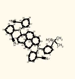 C[Si](C)(C)c1cccc(N(c2ccccc2C#N)c2ccc3ccc4c(N(c5ccccc5C#N)c5ccccc5C#N)ccc5ccc2c3c54)c1